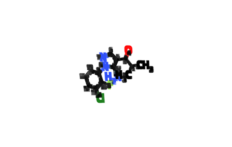 CC(C)C(=O)c1cnn(-c2cccc(Cl)c2F)c1N